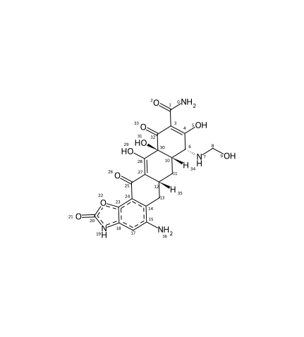 NC(=O)C1=C(O)[C@H](NCO)[C@@H]2C[C@@H]3Cc4c(N)cc5[nH]c(=O)oc5c4C(=O)C3=C(O)[C@]2(O)C1=O